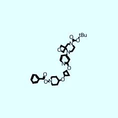 CC(C)(C)OC(=O)N1CCN(c2ccnc(O[C@H]3C[C@H](OC4CCN(OC(=O)c5ccccc5)CC4)C3)c2)C2(COC2)C1